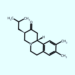 Cc1cc2c(cc1C)[C@H]1CC(=O)[C@H](CC(C)C)CN1CC2